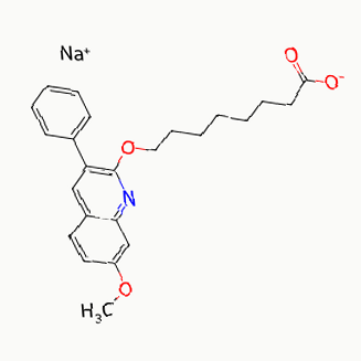 COc1ccc2cc(-c3ccccc3)c(OCCCCCCCC(=O)[O-])nc2c1.[Na+]